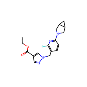 CCOC(=O)c1cnn(Cc2ccc(N3CC4CC4C3)nc2F)c1